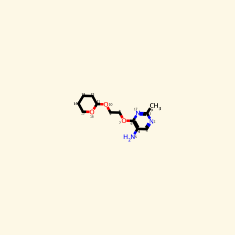 Cc1ncc(N)c(OCCOC2CCCCO2)n1